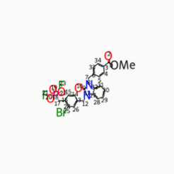 COC(=O)c1ccc(Cn2c(=O)n(Cc3ccc(CP(=O)(OF)OF)c(Br)c3)c3ccccc32)cc1